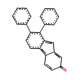 O=C1C=CC2=c3ccc(-c4ccccc4)c(-c4ccccc4)c3=CC2=C1